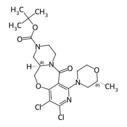 C[C@@H]1CN(c2nc(Cl)c(Cl)c3c2C(=O)N2CCN(C(=O)OC(C)(C)C)C[C@@H]2CO3)CCO1